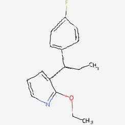 CCOc1ncccc1C(CC)c1ccc(F)cc1